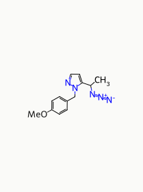 COc1ccc(Cn2nccc2C(C)N=[N+]=[N-])cc1